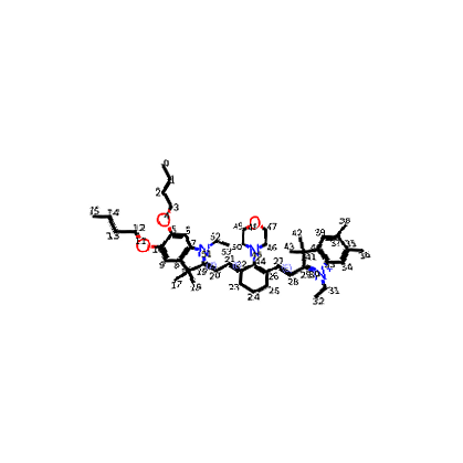 CCCCOc1cc2c(cc1OCCCC)C(C)(C)/C(=C/C=C1\CCCC(/C=C/C3=[N+](CC)c4cc(C)c(C)cc4C3(C)C)=C1N1CCOCC1)N2CC